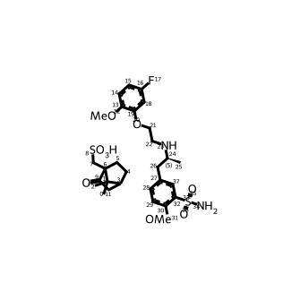 CC1(C)C2CCC1(CS(=O)(=O)O)C(=O)C2.COc1ccc(F)cc1OCCN[C@@H](C)Cc1ccc(OC)c(S(N)(=O)=O)c1